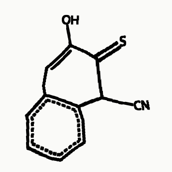 N#CC1C(=S)C(O)=Cc2ccccc21